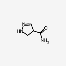 NC(=O)C1C=NNC1